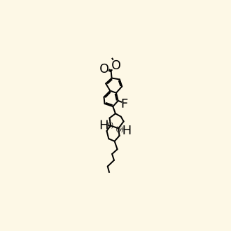 CCCCCC1CC[C@@H]2CC(c3ccc4cc(C(=O)OC)ccc4c3F)CC[C@H]2C1